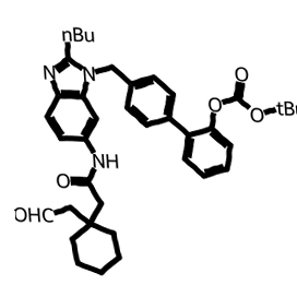 CCCCc1nc2ccc(NC(=O)CC3(CC=O)CCCCC3)cc2n1Cc1ccc(-c2ccccc2OC(=O)OC(C)(C)C)cc1